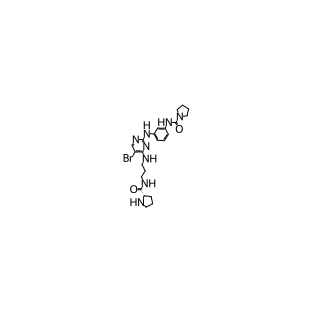 O=C(NCCCNc1nc(Nc2cccc(NC(=O)N3CCCC3)c2)ncc1Br)[C@@H]1CCCN1